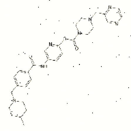 CC1CCN(Cc2ccc(C(=O)Nc3ccc(OC(=O)N4CCN(Cc5cnccn5)CC4)nc3)cc2)CC1